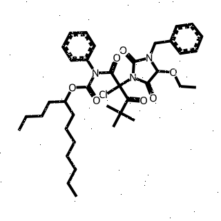 CCCCCCCC(CCCC)OC(=O)N(C(=O)C(Cl)(C(=O)C(C)(C)C)N1C(=O)C(OCC)N(Cc2ccccc2)C1=O)c1ccccc1